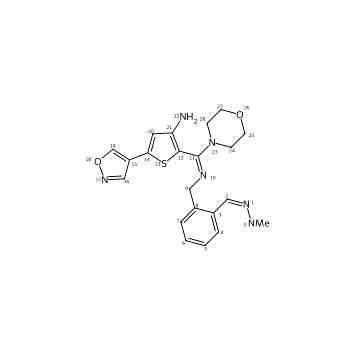 CN/N=C\c1ccccc1C/N=C(\c1sc(-c2cnoc2)cc1N)N1CCOCC1